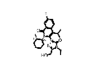 CCn1c(CO)nn(-c2c(C(C)C)c3ccc(F)cc3c(=O)n2[C@@H]2CCCC[C@H]2C)c1=O